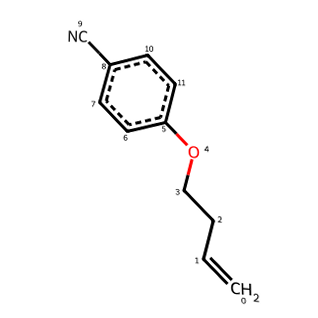 C=CCCOc1ccc(C#N)cc1